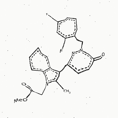 COC(=O)Cn1c(C)c(-c2ccc(=O)n(Cc3ccc(F)cc3F)n2)c2ccccc21